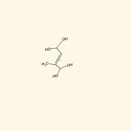 C/C(=C\C(O)O)C(O)O